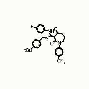 CC(C)(C)c1ccc(CSC(Nc2ccc(F)cc2)=C2C(=O)CCCN(c3ccc(C(F)(F)F)cc3)C2=O)cc1